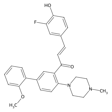 COc1ccccc1-c1ccc(N2CCN(C)CC2)c(C(=O)/C=C/c2ccc(O)c(F)c2)c1